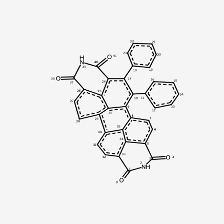 O=C1NC(=O)c2ccc3c4c(-c5ccccc5)c(-c5ccccc5)c5c6c(ccc(c7ccc1c2c73)c64)C(=O)NC5=O